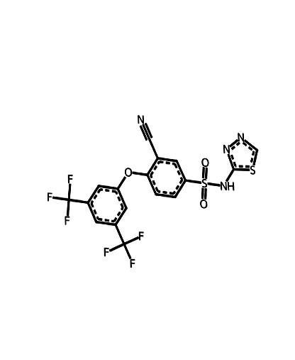 N#Cc1cc(S(=O)(=O)Nc2nncs2)ccc1Oc1cc(C(F)(F)F)cc(C(F)(F)F)c1